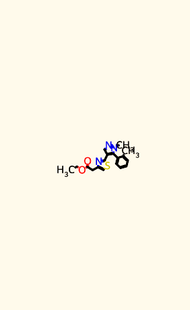 CCOC(=O)Cc1csc(-c2cnn(C)c2-c2ccccc2C)n1